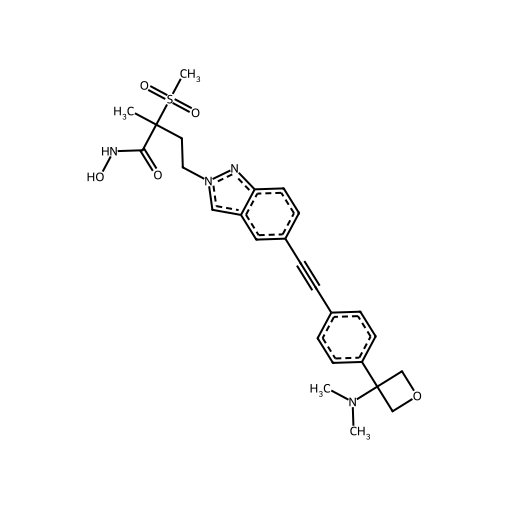 CN(C)C1(c2ccc(C#Cc3ccc4nn(CCC(C)(C(=O)NO)S(C)(=O)=O)cc4c3)cc2)COC1